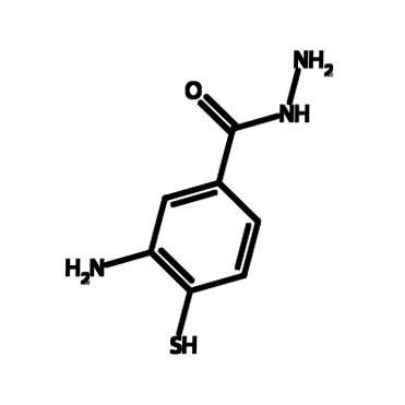 NNC(=O)c1ccc(S)c(N)c1